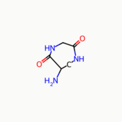 NC1CNC(=O)CNC1=O